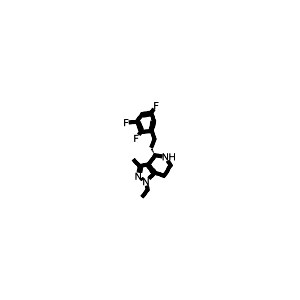 CCn1nc(C)c2c1CCN[C@H]2CCc1cc(F)cc(F)c1F